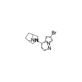 Brc1cc2c(N3CC4CCC(C3)N4)ccnn2c1